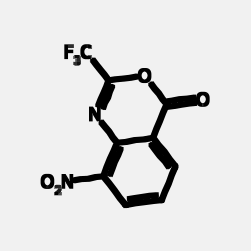 O=c1oc(C(F)(F)F)nc2c([N+](=O)[O-])cccc12